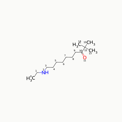 CCNCCCCCCCC(=O)C(C)(C)C